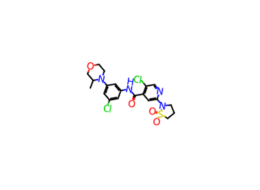 CC1COCCN1c1cc(Cl)cc(NC(=O)c2cc(N3CCCS3(=O)=O)ncc2Cl)c1